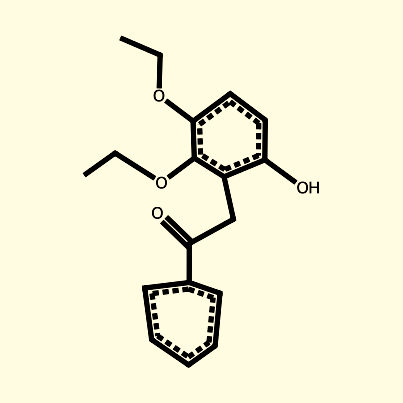 CCOc1ccc(O)c(CC(=O)c2ccccc2)c1OCC